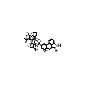 CC(C)[C@H]1C(=O)N2CCC[C@H]2[C@]2(O)O[C@](NC(=O)[C@@H]3C=C4c5cccc6[nH]c(Br)c(c56)C[C@H]4N(C)C3)(C(C)C)C(=O)N12